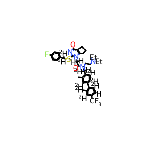 [2H]c1c([2H])c(C(F)(F)F)c([2H])c([2H])c1-c1c([2H])c([2H])c(C([2H])([2H])N(CCN(CC)CC)C(=O)C([2H])([2H])n2c(SC([2H])([2H])c3ccc(F)cc3)nc(=O)c3c2CCC3)c(C)c1[2H]